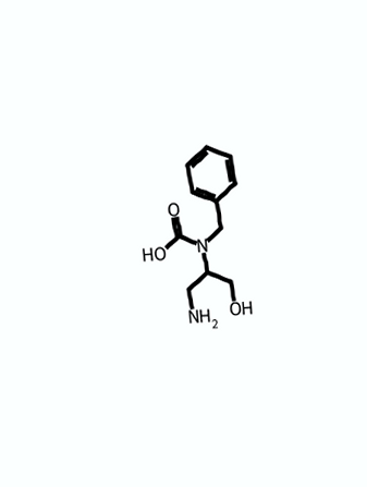 NCC(CO)N(Cc1ccccc1)C(=O)O